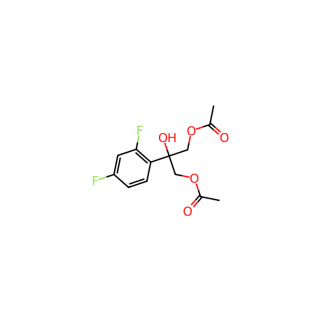 CC(=O)OCC(O)(COC(C)=O)c1ccc(F)cc1F